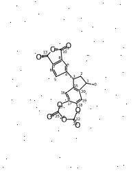 CC1CC(c2ccc3c(c2)C(=O)OC3=O)c2cc3c(cc21)OC(=O)OC(=O)O3